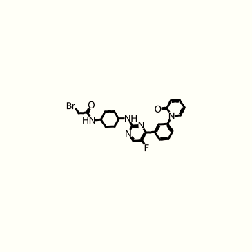 O=C(CBr)NC1CCC(Nc2ncc(F)c(-c3cccc(-n4ccccc4=O)c3)n2)CC1